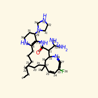 CCCCCCC1=C(NC(=O)C(C(N)N)C2CC(C)(CCCC)/C=C\C(F)=C=N2)C(N2CCNC2)CCN1